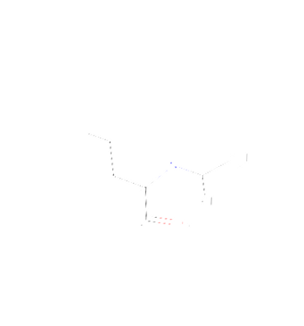 CCCC([C]=O)NC(C)C